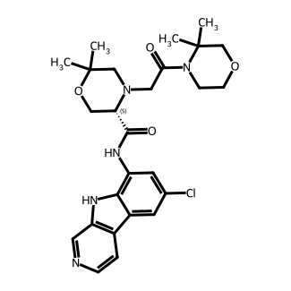 CC1(C)CN(CC(=O)N2CCOCC2(C)C)[C@H](C(=O)Nc2cc(Cl)cc3c2[nH]c2cnccc23)CO1